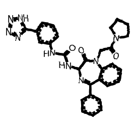 O=C(Nc1cccc(-c2nnn[nH]2)c1)NC1N=C(c2ccccc2)c2ccccc2N(CC(=O)N2CCCC2)C1=O